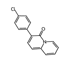 O=c1c(-c2ccc(Cl)cc2)ccc2ccccn12